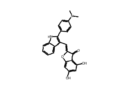 CN(C)c1ccc(-c2[nH]c3ccccc3c2/C=C2\Oc3cc(O)cc(O)c3C2=O)cc1